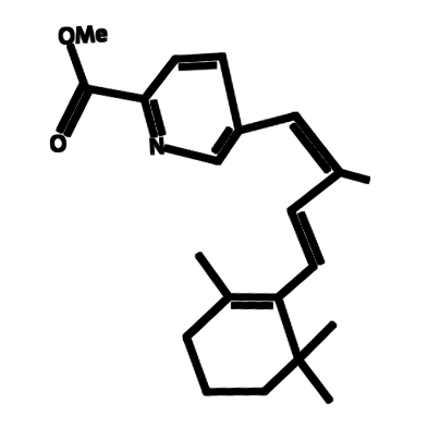 COC(=O)c1ccc(C=C(C)C=CC2=C(C)CCCC2(C)C)cn1